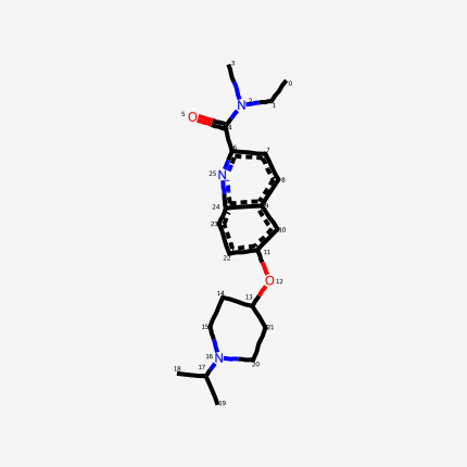 CCN(C)C(=O)c1ccc2cc(OC3CCN(C(C)C)CC3)ccc2n1